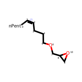 CCCCC/C=C\CCCOCC1CO1